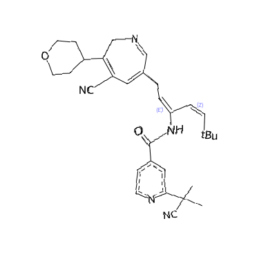 CC(C)(C)/C=C\C(=C/CC1=CC(C#N)=C(C2CCOCC2)CN=C1)NC(=O)c1ccnc(C(C)(C)C#N)c1